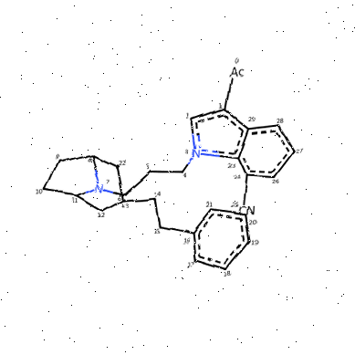 CC(=O)c1cn(CCCN2C3CCC2CC(CCc2ccccc2)C3)c2c(C#N)cccc12